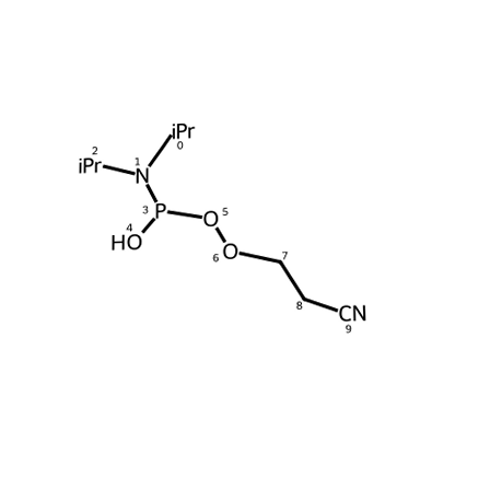 CC(C)N(C(C)C)P(O)OOCCC#N